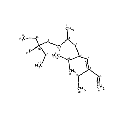 C=C/C(=C/C(CC(C)OCC(F)(CC)CC)C(C)C)CC